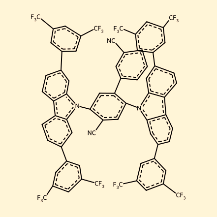 N#Cc1cccc(-c2cc(-n3c4cc(-c5cc(C(F)(F)F)cc(C(F)(F)F)c5)ccc4c4ccc(-c5cc(C(F)(F)F)cc(C(F)(F)F)c5)cc43)c(C#N)cc2-n2c3cc(-c4cc(C(F)(F)F)cc(C(F)(F)F)c4)ccc3c3ccc(-c4cc(C(F)(F)F)cc(C(F)(F)F)c4)cc32)c1